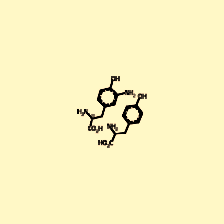 NC(Cc1ccc(O)cc1)C(=O)O.Nc1cc(C[C@H](N)C(=O)O)ccc1O